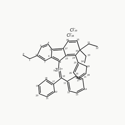 CCc1ccc2c(c1)=[C]([Zr+2]=[C](c1ccccc1)c1ccccc1)C1=C(C3=CC=CC3)C(CC)(CC)C=CC=21.[Cl-].[Cl-]